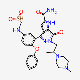 CC(Cn1nc(-c2cc(NC[SH](=O)=O)ccc2Oc2ccccc2)c2cc(C(N)=O)[nH]c2c1=O)N1CCN(C)CC1